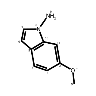 COc1ccc2ccn(N)c2c1